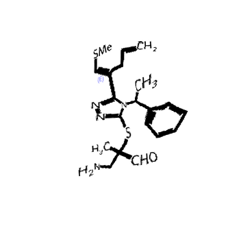 C=CC/C(=C\SC)c1nnc(SC(C)(C=O)CN)n1C(C)c1ccccc1